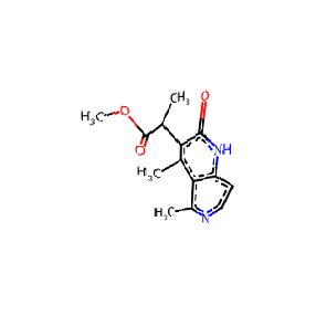 COC(=O)C(C)c1c(C)c2c(C)nccc2[nH]c1=O